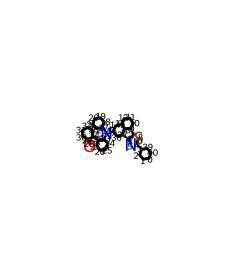 c1ccc(-c2nc3c(s2)-c2cccc4cc(N(c5ccccc5)c5cccc6oc7ccccc7c56)cc-3c24)cc1